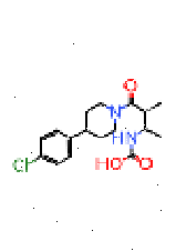 CC(NC(=O)O)[C@H](C)C(=O)N1CCC(c2ccc(Cl)cc2)CC1